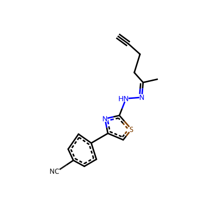 C#CCC/C(C)=N\Nc1nc(-c2ccc(C#N)cc2)cs1